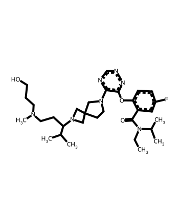 CCN(C(=O)c1cc(F)ccc1Oc1nncnc1N1CCC2(C1)CN(C(CCN(C)CCCO)C(C)C)C2)C(C)C